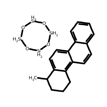 CC1CCCc2c1ccc1c2ccc2ccccc21.O1[SiH2]O[SiH2]O[SiH2]O[SiH2]1